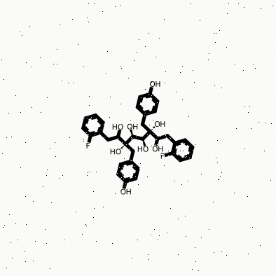 Oc1ccc(C[C@@](O)(C(O)Cc2ccccc2F)[C@@H](O)[C@H](O)[C@@](O)(Cc2ccc(O)cc2)C(O)Cc2ccccc2F)cc1